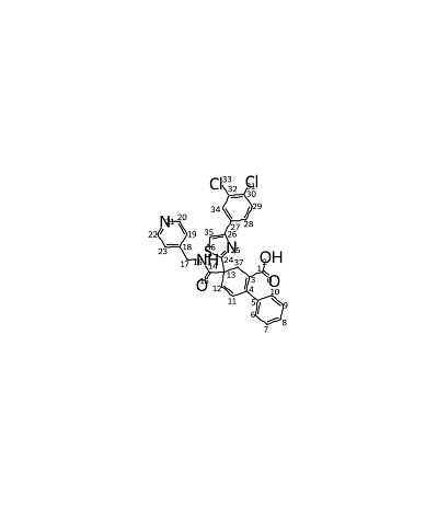 O=C(O)C1=C(c2ccccc2)C=CC(C(=O)NCc2ccncc2)(c2nc(-c3ccc(Cl)c(Cl)c3)cs2)C1